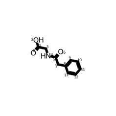 O=C(O)CNC(=O)[CH]c1ccccc1